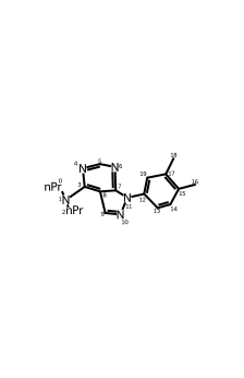 CCCN(CCC)c1ncnc2c1cnn2-c1ccc(C)c(C)c1